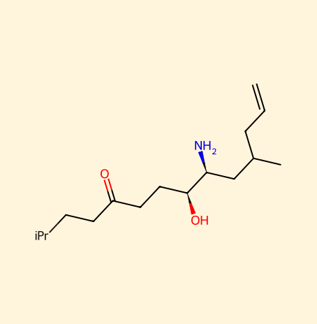 C=CCC(C)C[C@H](N)[C@@H](O)CCC(=O)CCC(C)C